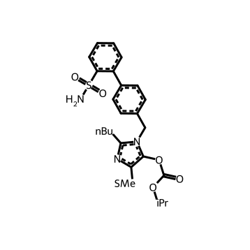 CCCCc1nc(SC)c(OC(=O)OC(C)C)n1Cc1ccc(-c2ccccc2S(N)(=O)=O)cc1